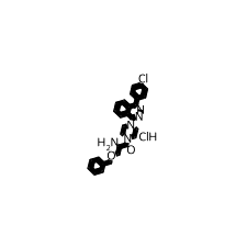 Cl.N[C@@H](COCc1ccccc1)C(=O)N1CCN(c2nnc(-c3ccc(Cl)cc3)c3ccccc23)CC1